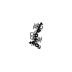 COc1ccc(-n2nc(C(C)(C)C)cc2NC(=O)Nc2ccc(Oc3ccnc(NC(=O)NC4CC4)c3)c(Cl)c2Cl)cc1